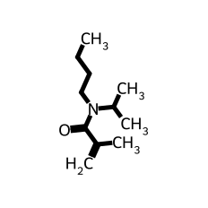 C=C(C)C(=O)N(CCCC)C(C)C